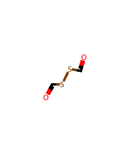 O=CSSC=O